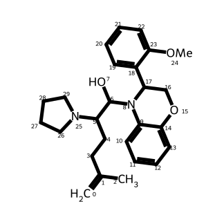 C=C(C)CCC(C(O)N1c2ccccc2OCC1c1ccccc1OC)N1CCCC1